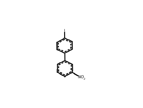 O=[N+]([O-])c1[c]ccc(-c2ccc(I)cc2)c1